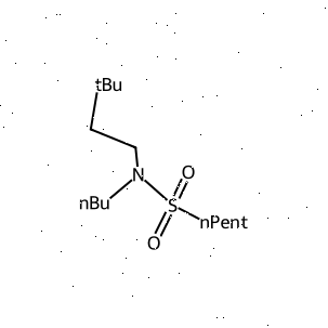 CCCCCS(=O)(=O)N(CCCC)CCC(C)(C)C